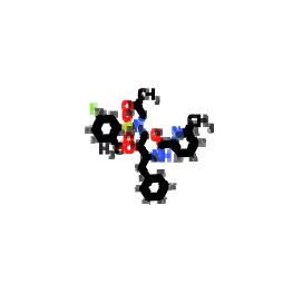 CC(=O)CN(CC(O)C(Cc1ccccc1)NC(=O)c1cccc(C)n1)S(=O)(=O)c1cc(F)ccc1C